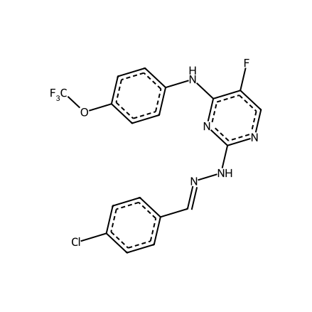 Fc1cnc(N/N=C/c2ccc(Cl)cc2)nc1Nc1ccc(OC(F)(F)F)cc1